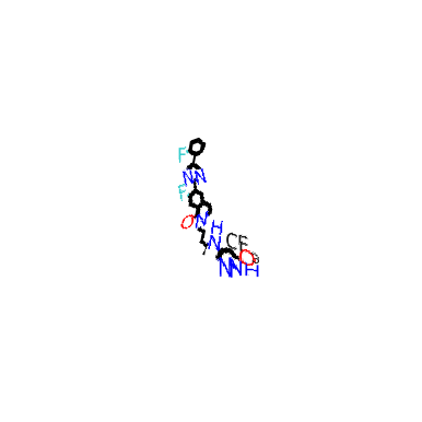 C[C@@H](CCCn1ccc2cc(-c3ncc(-c4ccccc4F)cn3)c(F)cc2c1=O)Nc1cn[nH]c(=O)c1C(F)(F)F